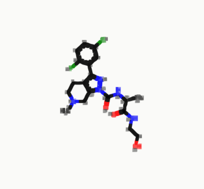 CN1CCc2c(-c3cc(Cl)ccc3F)nn(C(=O)N[C@H](C(=O)NCCO)C(C)(C)C)c2C1